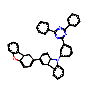 C1=CC2C(C=C1C1=CC=C3Oc4ccccc4C3C1)c1ccccc1N2c1cccc(-c2nc(-c3ccccc3)nc(-c3ccccc3)n2)c1